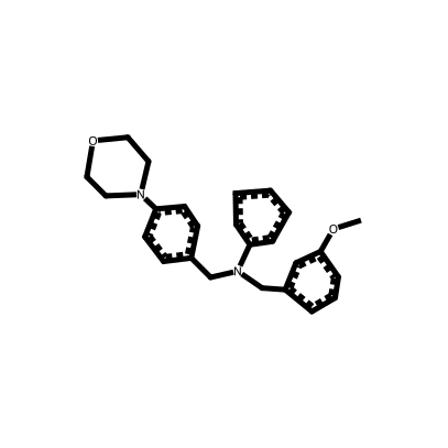 COc1cccc(CN(Cc2ccc(N3CCOCC3)cc2)c2ccccc2)c1